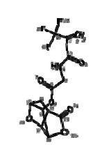 C=C(C(=O)NCC(=O)OC1C2CC3C(=O)OC1C3O2)C(F)(F)F